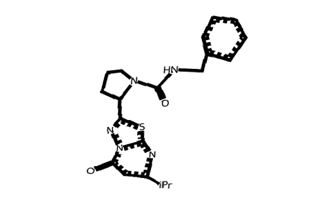 CC(C)c1cc(=O)n2nc(C3CCCN3C(=O)NCc3ccccc3)sc2n1